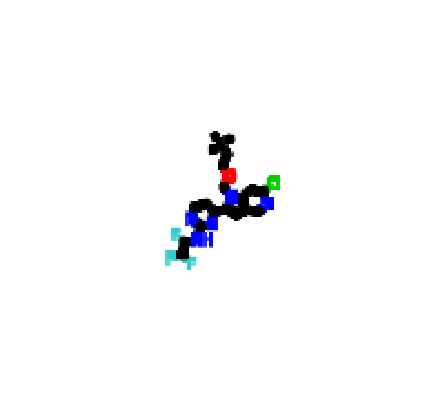 C[Si](C)(C)CCOCn1c(-c2ccnc(NC(F)C(F)F)n2)cc2cnc(Cl)cc21